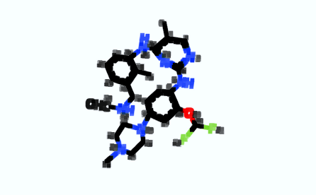 Cc1cnc(Nc2ccc(N3CCN(C)CC3)cc2OC(F)F)nc1Nc1cccc(CNC=O)c1C